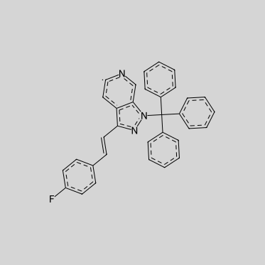 Fc1ccc(/C=C/c2nn(C(c3ccccc3)(c3ccccc3)c3ccccc3)c3cn[c]cc23)cc1